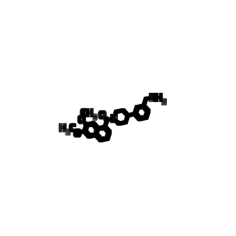 COc1cc2cccc(C(=O)N3CCC(c4cccc(CN)c4)CC3)c2cc1OC